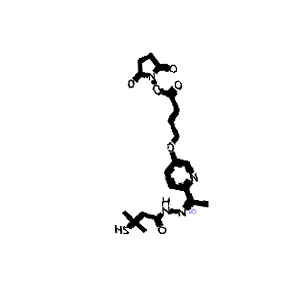 C/C(=N/NC(=O)CC(C)(C)S)c1ccc(OCCCC(=O)ON2C(=O)CCC2=O)cn1